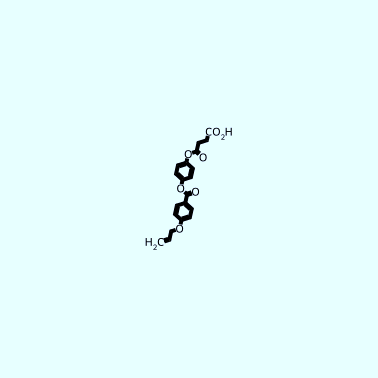 C=CCOc1ccc(C(=O)Oc2ccc(OC(=O)CCC(=O)O)cc2)cc1